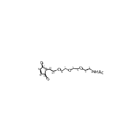 CC(=O)NCCOCCOCCOCCN1C(=O)C=CC1=O